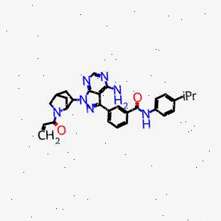 C=CC(=O)N1CC2CC1C(n1nc(-c3cccc(C(=O)Nc4ccc(C(C)C)cc4)c3)c3c(N)ncnc31)C2